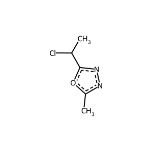 Cc1nnc(C(C)Cl)o1